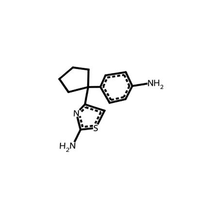 Nc1ccc(C2(c3csc(N)n3)CCCC2)cc1